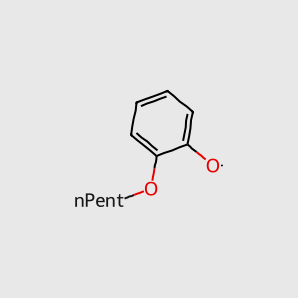 CCCCCOc1ccccc1[O]